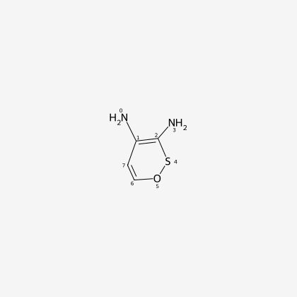 NC1=C(N)SOC=C1